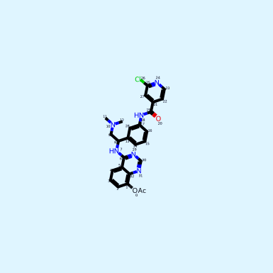 CC(=O)Oc1cccc2c(NC(CN(C)C)c3cccc(NC(=O)c4ccnc(Cl)c4)c3)ncnc12